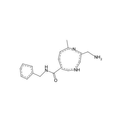 Cc1ccc(C(=O)NCc2ccccc2)c[nH]cc(CN)n1